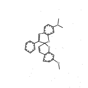 COc1ccc2c(c1)OC1(C=C2)Oc2cc(N(C)C)ccc2C=C1c1ccccc1